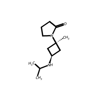 CC(C)N[C@H]1C[C@@](C)(N2CCCC2=O)C1